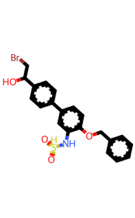 O=[SH](=O)Nc1cc(-c2ccc(C(O)CBr)cc2)ccc1OCc1ccccc1